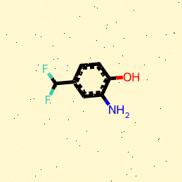 Nc1cc(C(F)F)ccc1O